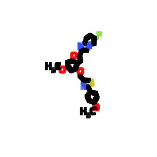 COc1ccc(-c2nc(COc3cc(OC)cc4oc(-c5cn6cc(F)ccc6n5)cc34)cs2)cc1